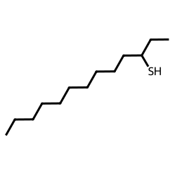 CCCCCCCCCCC(S)CC